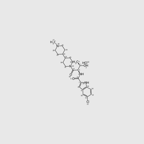 C[C@@H](O)[C@@H](NC(=O)c1cc2cc(Cl)ccc2[nH]1)C(=O)N1CCC(C2CCN(C)CC2)CC1.Cl